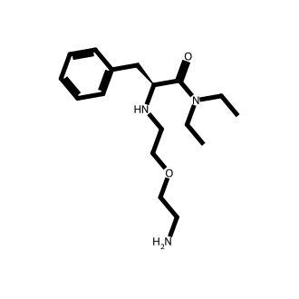 CCN(CC)C(=O)[C@H](Cc1ccccc1)NCCOCCN